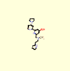 CN(CCc1ccccn1)Cc1cc(O)cc(-c2cc(N3CCCC3)ccn2)n1